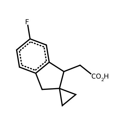 O=C(O)CC1c2cc(F)ccc2CC12CC2